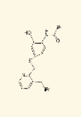 CC(C)Cc1cccnc1CSc1ccc(NC(=O)C(C)C)c(O)c1